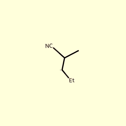 CC[CH]C(C)C#N